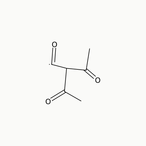 CC(=O)C([C]=O)C(C)=O